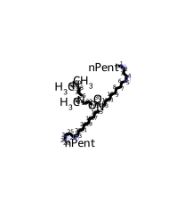 CCCCC/C=C\C/C=C\CCCCCCCCN(CCCCCCCC/C=C\C/C=C\CCCCC)C(=O)OCCN(C)CCCN(C)C